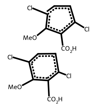 COc1c(Cl)ccc(Cl)c1C(=O)O.COc1c(Cl)ccc(Cl)c1C(=O)O